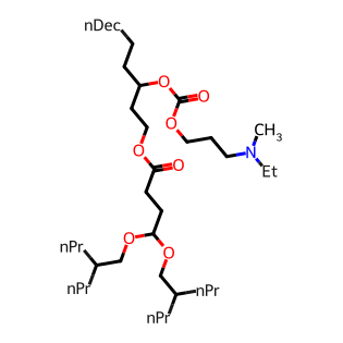 CCCCCCCCCCCCC(CCOC(=O)CCC(OCC(CCC)CCC)OCC(CCC)CCC)OC(=O)OCCCN(C)CC